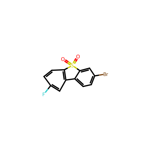 O=S1(=O)c2ccc(F)cc2-c2ccc(Br)cc21